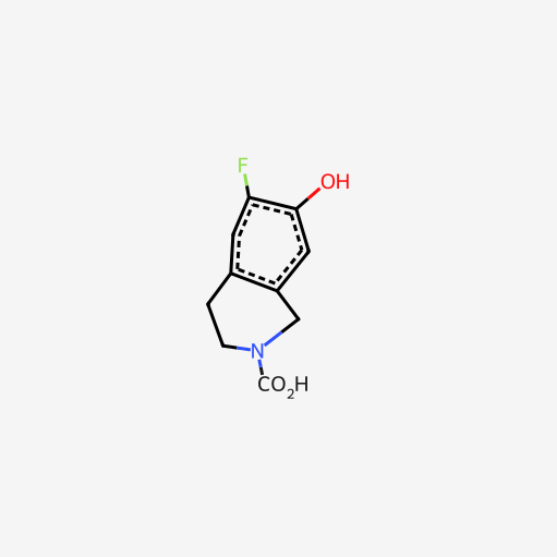 O=C(O)N1CCc2cc(F)c(O)cc2C1